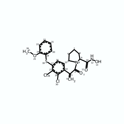 C=C(C(=O)N1CCCCC1C(=O)NO)c1ccc(Sc2ccccc2OC)c(Cl)c1Cl